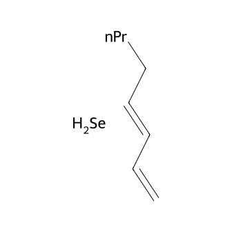 C=CC=CCCCC.[SeH2]